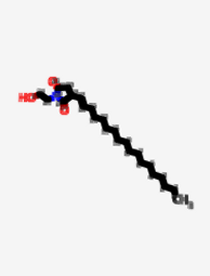 CCCCCCCCCCCCCCCCC=CC1CC(=O)N(CCO)C1=O